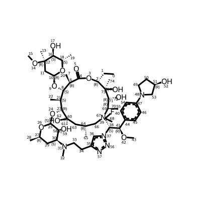 CC[C@H]1OC(=O)[C@H](C)[C@@H](O[C@H]2C[C@@](C)(OC)[C@@H](O)[C@H](C)O2)[C@H](C)[C@@H](O[C@@H]2O[C@H](C)C[C@H](N(C)CCc3cn([C@H](CF)[C@H](OC)c4ccc(N5CC[C@@H](O)C5)cc4)nn3)[C@H]2O)[C@](C)(O)C[C@@H](C)CN(C)[C@H](C)[C@@H](O)[C@]1(C)O